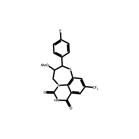 COC1Cn2c(=O)[nH]c(=O)c3cc(C(F)(F)F)cc(c32)SC1c1ccc(F)cc1